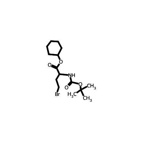 CC(C)(C)OC(=O)NC(CCBr)C(=O)OC1CCCCC1